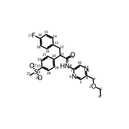 CCOCc1cnc(NC(=O)C(Cc2ccc(F)cc2)c2ccc(S(C)(=O)=O)cc2)cn1